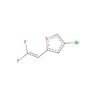 FC(F)=Cc1cc(Br)cs1